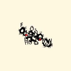 CN(C)C(=O)C(=O)N(C)C12CCC(N3CCn4ccnc4C3)(CC1)Cn1c2nc(C(=O)NCc2ccc(F)cc2)c(O)c1=O